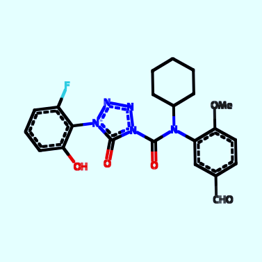 COc1ccc(C=O)cc1N(C(=O)n1nnn(-c2c(O)cccc2F)c1=O)C1CCCCC1